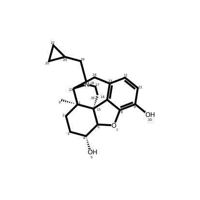 C[C@@]12CC[C@@H](O)C3Oc4c(O)ccc5c4[C@@]31CCN(CC1CC1)C2C5